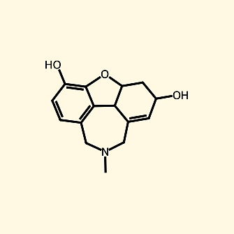 CN1CC2=CC(O)CC3Oc4c(O)ccc(c4C23)C1